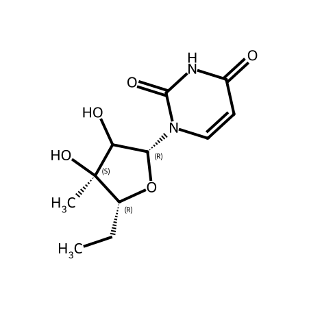 CC[C@H]1O[C@@H](n2ccc(=O)[nH]c2=O)C(O)[C@]1(C)O